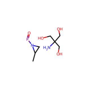 CC1CN1P=O.NC(CO)(CO)CO